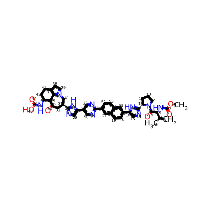 COC(=O)N[C@H](C(=O)N1CCC[C@H]1c1ncc(-c2ccc3cc(-c4ncc(-c5cnc([C@H]6CC(=O)C7c8c(ccn8C6)CC[C@@H]7NC(=O)O)[nH]5)cn4)ccc3c2)[nH]1)C(C)C